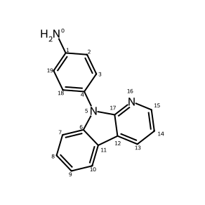 Nc1ccc(-n2c3ccccc3c3cccnc32)cc1